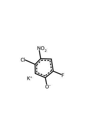 O=[N+]([O-])c1cc(F)c([O-])cc1Cl.[K+]